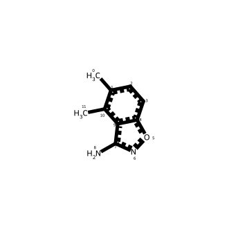 Cc1ccc2onc(N)c2c1C